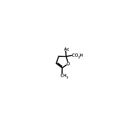 CC(=O)C1(C(=O)O)CC=C(C)O1